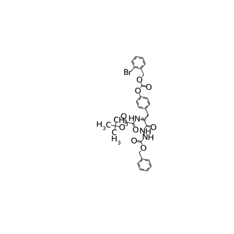 CC(C)(C)OC(=O)C(=O)N[C@@H](Cc1ccc(OC(=O)OCc2ccccc2Br)cc1)C(=O)NNC(=O)OCc1ccccc1